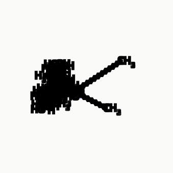 CCCCCCCCCCCCC/C=C/[C@@H](O)[C@H](CO[C@@H]1OC(CO)[C@@H](O[C@@H]2OC(CO)[C@H](O[C@@H]3OC(CO)[C@H](O)[C@H](O[C@@H]4OC(CO)[C@H](O)[C@H](O)C4O)C3NC(C)=O)[C@H](O[C@]3(C(=O)O)CC(O)[C@@H](NC(C)=O)C([C@H](O)[C@@H](CO)O[C@]4(C(=O)O)CC(O)[C@@H](NC(C)=O)C([C@H](O)[C@H](O)CO)O4)O3)C2O)[C@H](O)C1O)NC(=O)CCCCCCCCCCCCCCCCCCCCCCC